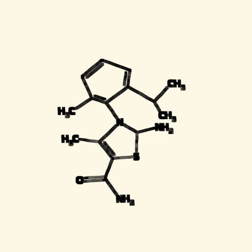 CC1=C(C(N)=O)SC(N)N1c1c(C)cccc1C(C)C